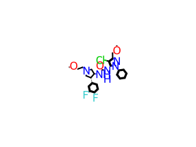 COCCN1C[C@@H](NC(=O)Nc2c(Cl)c(COC)nn2-c2ccccc2)[C@H](c2ccc(F)c(F)c2)C1